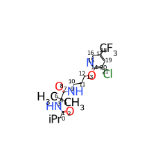 CC(C)C(=O)NC(C)(C)C(=O)NCCCOc1ncc(C(F)(F)F)cc1Cl